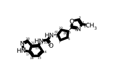 Cc1coc([C@@H]2CC[C@H](NC(=O)Nc3cccc4[nH]ncc34)C2)n1